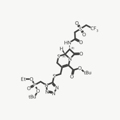 CCOP(=O)(Cn1nnnc1SCC1=C(C(=O)OC(C)(C)C)N2C(=O)[C@@H](NC(=O)CS(=O)(=O)CC(F)(F)F)[C@H]2SC1)OC(C)(C)C